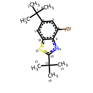 CC(C)(C)c1cc(Br)c2nc(C(C)(C)C)sc2c1